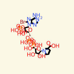 Nc1ncnc2c1nc(Br)n2[C@@H]1O[C@H](COP(=O)(O)OP(=O)(O)C(O)[C@@H]2O[C@@H]([n+]3cccc(C(=O)O)c3)[C@H](O)[C@@H]2O)[C@@H](O)[C@H]1OP(=O)(O)O